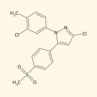 Cc1ccc(-n2nc(Cl)cc2-c2ccc(S(C)(=O)=O)cc2)cc1Cl